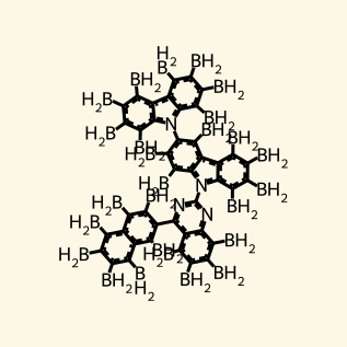 Bc1c(B)c(B)c2c(-c3c(B)c(B)c4c(B)c(B)c(B)c(B)c4c3B)nc(-n3c4c(B)c(B)c(B)c(B)c4c4c(B)c(-n5c6c(B)c(B)c(B)c(B)c6c6c(B)c(B)c(B)c(B)c65)c(B)c(B)c43)nc2c1B